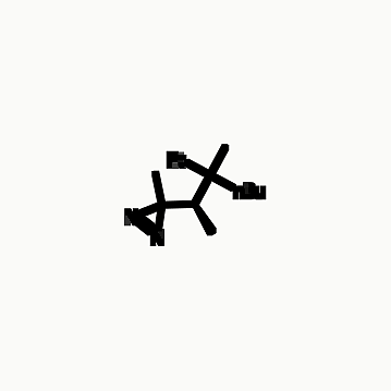 CCCCC(C)(CC)[C@@H](C)C1(C)N=N1